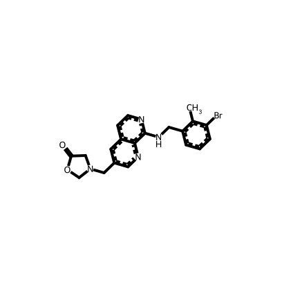 Cc1c(Br)cccc1CNc1nccc2cc(CN3COC(=O)C3)cnc12